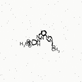 COCCN1CCN(c2cccc3cnc(NC4CCN(S(C)(=O)=O)CC4)nc23)CC1